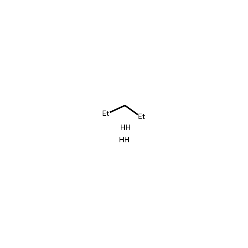 CCCCC.[HH].[HH]